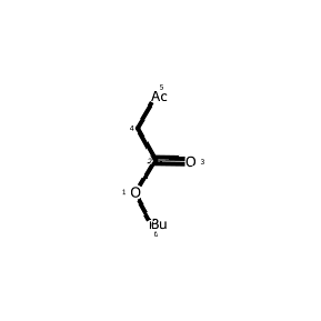 CCC(C)OC(=O)CC(C)=O